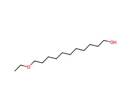 CCOCCCCCCCCCCCO